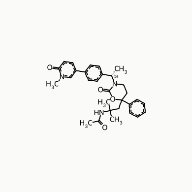 CC(=O)NC(C)(C)CC1(c2ccccc2)CCN([C@@H](C)c2ccc(-c3ccc(=O)n(C)c3)cc2)C(=O)O1